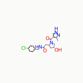 Cc1n[nH]cc1C(=O)N1C[C@H](O)CC1CC(=O)NCc1ccc(Cl)cc1